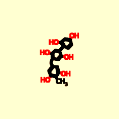 Cc1c(O)cc(Cc2cc(O)c(-c3ccc(O)cc3O)cc2O)cc1O